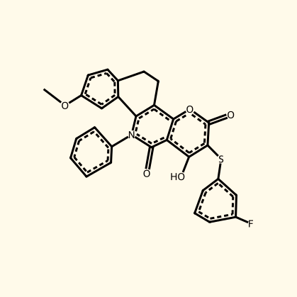 COc1ccc2c(c1)-c1c(c3oc(=O)c(Sc4cccc(F)c4)c(O)c3c(=O)n1-c1ccccc1)CC2